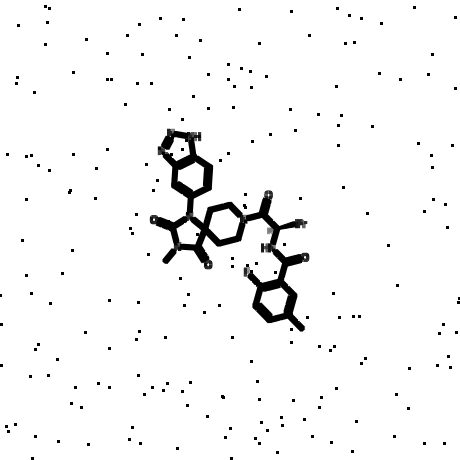 Cc1ccc(F)c(C(=O)N[C@@H](C(=O)N2CCC3(CC2)C(=O)N(C)C(=O)N3c2ccc3[nH]nnc3c2)C(C)C)c1